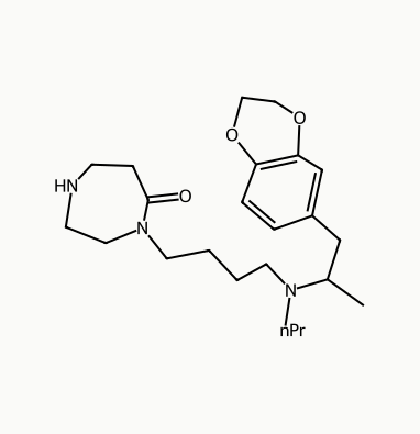 CCCN(CCCCN1CCNCCC1=O)C(C)Cc1ccc2c(c1)OCCO2